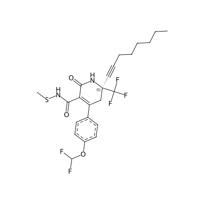 CCCCCCC#C[C@]1(C(F)(F)F)CC(c2ccc(OC(F)F)cc2)=C(C(=O)NSC)C(=O)N1